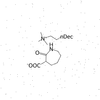 CCCCCCCCCCCC[N+](C)(C)C.O=C([O-])C1CCCCNC1=O